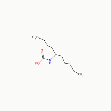 CCCCCC(CCCC)NC(=O)O